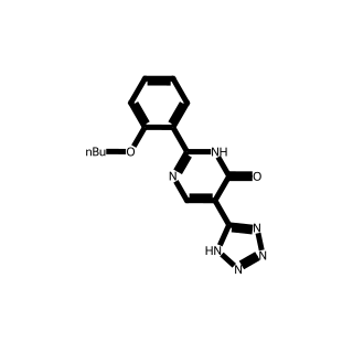 CCCCOc1ccccc1-c1ncc(-c2nnn[nH]2)c(=O)[nH]1